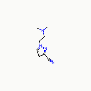 CN(C)CCn1ccc(C#N)n1